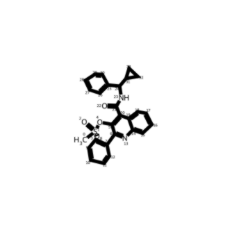 CS(=O)(=O)Oc1c(-c2ccccc2)nc2ccccc2c1C(=O)NC(c1ccccc1)C1CC1